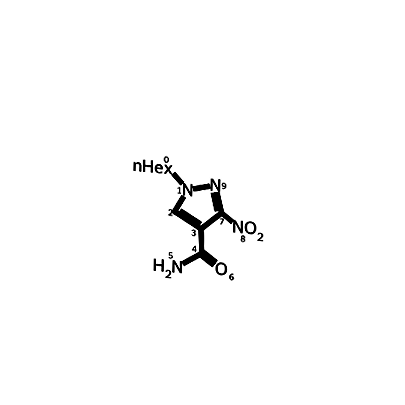 CCCCCCn1cc(C(N)=O)c([N+](=O)[O-])n1